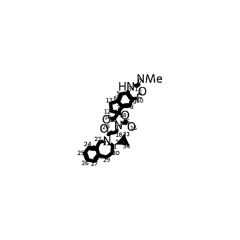 CNC(=O)Nc1cc2c(cc1F)C1(CC2)OC(=O)N(CC(=O)N2Cc3ccccc3CC[C@H]2C2CC2)C1=O